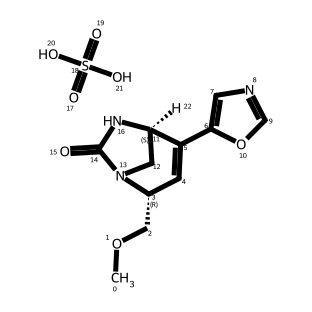 COC[C@H]1C=C(c2cnco2)[C@H]2CN1C(=O)N2.O=S(=O)(O)O